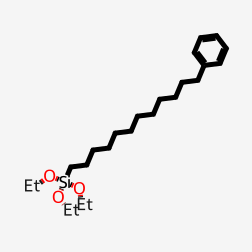 CCO[Si](CCCCCCCCCCCCc1ccccc1)(OCC)OCC